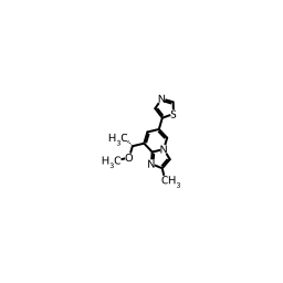 CO[C@H](C)c1cc(-c2cncs2)cn2cc(C)nc12